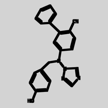 N#Cc1ccc(N(Cc2ccc(O)cc2)n2cncn2)cc1-c1ccccc1